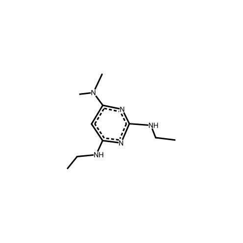 CCNc1cc(N(C)C)nc(NCC)n1